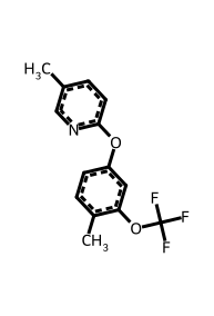 Cc1ccc(Oc2ccc(C)c(OC(F)(F)F)c2)nc1